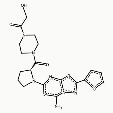 Nc1nc(N2CCC[C@H]2C(=O)N2CCN(C(=O)CO)CC2)nc2nc(-c3ccco3)nn12